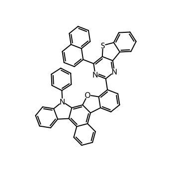 c1ccc(-n2c3ccccc3c3c4ccccc4c4c5cccc(-c6nc(-c7cccc8ccccc78)c7sc8ccccc8c7n6)c5oc4c32)cc1